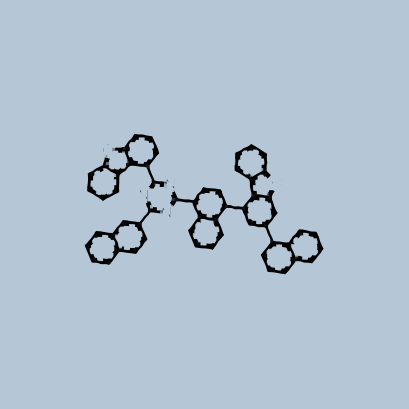 c1ccc2cc(-c3nc(-c4ccc(-c5cc(-c6cccc7ccccc67)cc6oc7ccccc7c56)c5ccccc45)nc(-c4cccc5oc6ccccc6c45)n3)ccc2c1